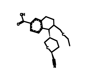 CCCCC1CCc2cc(C(=O)O)ccc2C1[C@H]1CC[C@H](C#N)CC1